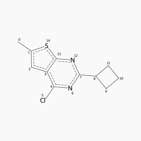 Cc1cc2c(Cl)nc(C3CCC3)nc2s1